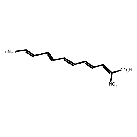 CCCCCCCCC/C=C/C=C/C=C/C=C/C=C(/C(=O)O)[N+](=O)[O-]